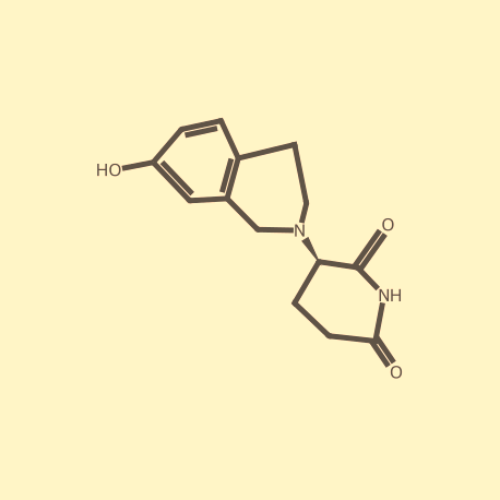 O=C1CC[C@@H](N2CCc3ccc(O)cc3C2)C(=O)N1